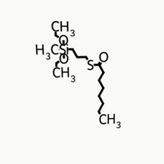 CCCCCCCC(=O)SCCC[Si](C)(OCC)OCC